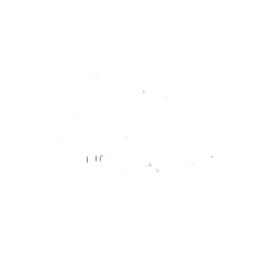 CCOC(=O)c1cc(O)nc2n[nH]c(-c3ccccc3C)c12